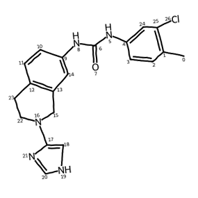 Cc1ccc(NC(=O)Nc2ccc3c(c2)CN(c2c[nH]cn2)CC3)cc1Cl